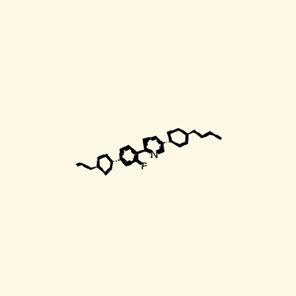 CCCC[C@H]1CC[C@H](c2ccc(-c3ccc([C@H]4CC[C@H](CCC)CC4)cc3F)nc2)CC1